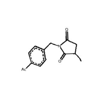 CC(=O)c1ccc(CN2C(=O)CC(C)C2=O)cc1